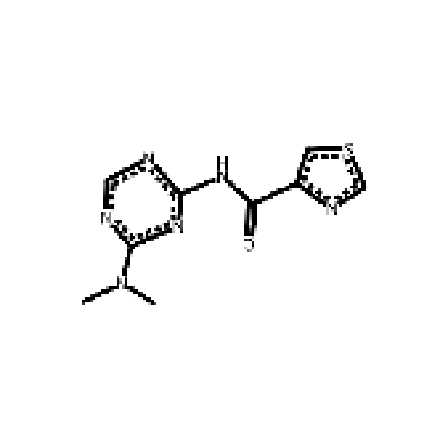 CN(C)c1ncnc(NC(=O)c2cscn2)n1